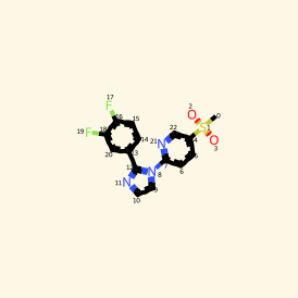 CS(=O)(=O)c1ccc(-n2ccnc2-c2ccc(F)c(F)c2)nc1